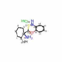 CCCC1CCCCC1(N)C1Oc2ccccc2NS1.Cl